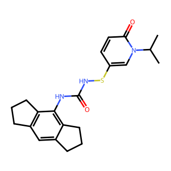 CC(C)n1cc(SNC(=O)Nc2c3c(cc4c2CCC4)CCC3)ccc1=O